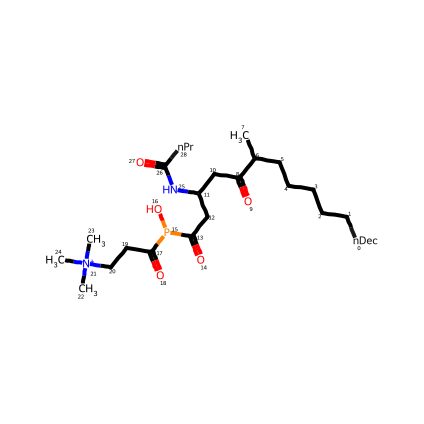 CCCCCCCCCCCCCCCC(C)C(=O)CC(CC(=O)P(O)C(=O)CC[N+](C)(C)C)NC(=O)CCC